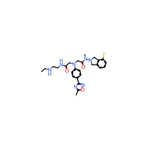 CCNCCNC(=O)CN(CC(=O)N(C)N1Cc2cccc(F)c2C1)c1ccc(-c2noc(C)n2)cc1